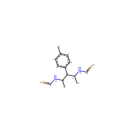 Cc1ccc(C(C(C)NC=S)C(C)NC=S)cc1